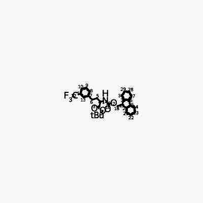 CC(C)(C)OC(=O)C(CCc1cccc(C(F)(F)F)c1)NC(=O)OCC1c2ccccc2-c2ccccc21